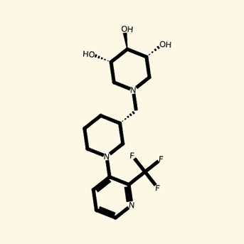 O[C@H]1[C@H](O)CN(C[C@H]2CCCN(c3cccnc3C(F)(F)F)C2)C[C@@H]1O